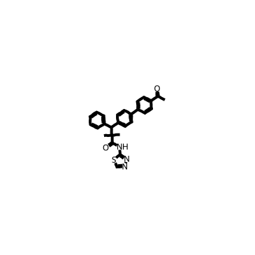 CC(=O)c1ccc(-c2ccc(C(c3ccccc3)C(C)(C)C(=O)Nc3nncs3)cc2)cc1